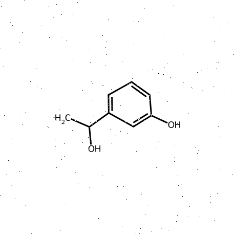 [CH2]C(O)c1cccc(O)c1